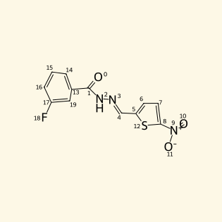 O=C(N/N=C/c1ccc([N+](=O)[O-])s1)c1cccc(F)c1